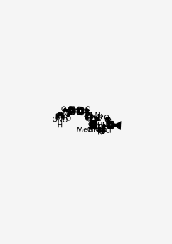 COc1cc(N2CCC(C(=O)N3CCN(c4ccc5c(c4)C(=O)N(C4CCC(=O)NC4=O)C5=O)CC3)CC2)c(-c2cnn(C)c2)cc1Nc1ncc(Cl)c(Nc2ccc(C3CC3)cc2P(C)(C)=O)n1